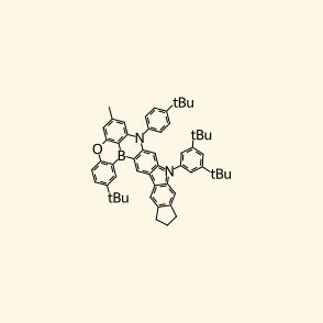 Cc1cc2c3c(c1)N(c1ccc(C(C)(C)C)cc1)c1cc4c(cc1B3c1cc(C(C)(C)C)ccc1O2)c1cc2c(cc1n4-c1cc(C(C)(C)C)cc(C(C)(C)C)c1)CCC2